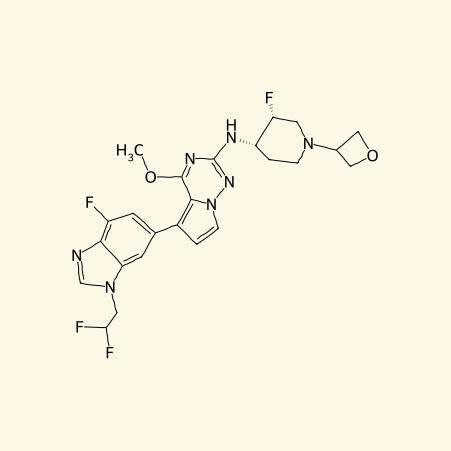 COc1nc(N[C@H]2CCN(C3COC3)C[C@H]2F)nn2ccc(-c3cc(F)c4ncn(CC(F)F)c4c3)c12